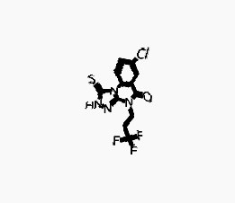 O=c1c2cc(Cl)ccc2n2c(=S)[nH]nc2n1CCC(F)(F)F